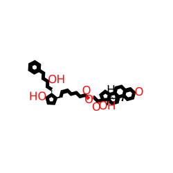 C[C@]12CCC(=O)C=C1CC[C@@H]1C2=CC[C@@]2(C)[C@H]1CC[C@]2(O)C(=O)COC(=O)CCC/C=C\C[C@H]1CC[C@@H](O)[C@@H]1CC[C@@H](O)CCc1ccccc1